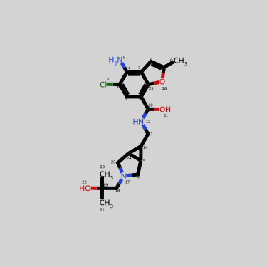 Cc1cc2c(N)c(Cl)cc(C(O)NCC3C4CN(CC(C)(C)O)CC34)c2o1